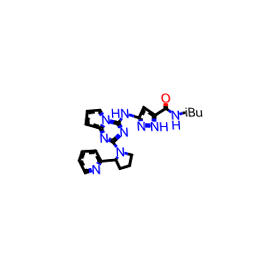 CCC(C)NC(=O)c1cc(Nc2nc(N3CCCC3c3ccccn3)nc3cccn23)n[nH]1